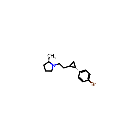 C[C@@H]1CCCN1CCC1C[C@@H]1c1ccc(Br)cc1